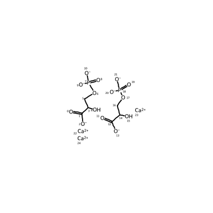 O=C([O-])C(O)COP(=O)([O-])[O-].O=C([O-])C(O)COP(=O)([O-])[O-].[Ca+2].[Ca+2].[Ca+2]